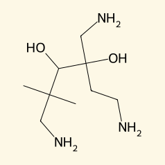 CC(C)(CN)C(O)C(O)(CN)CCN